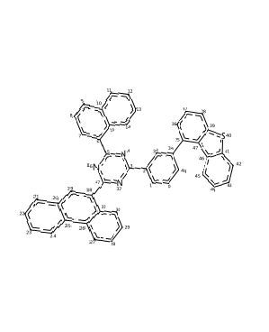 c1cc(-c2nc(-c3cccc4ccccc34)nc(-c3cc4ccccc4c4ccccc34)n2)cc(-c2cccc3sc4ccccc4c23)c1